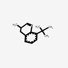 CC1C=Nc2c(cccc2C(C)(C)C)C1